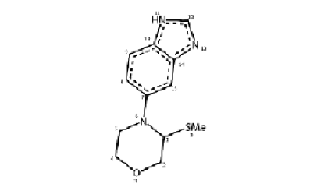 CSC1[CH]OCCN1c1ccc2[nH]cnc2c1